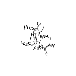 CC(=N)NC/C=C\C(C)(N)C(=O)O.Cl.Cl